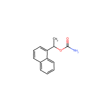 CC(OC(N)=O)c1cccc2ccccc12